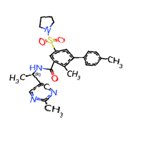 Cc1ccc(-c2cc(S(=O)(=O)N3CCCC3)cc(C(=O)N[C@H](C)c3cnc(C)nc3)c2C)cc1